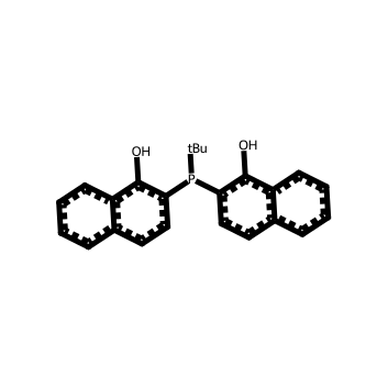 CC(C)(C)P(c1ccc2ccccc2c1O)c1ccc2ccccc2c1O